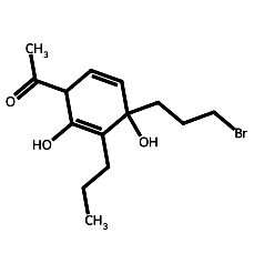 CCCC1=C(O)C(C(C)=O)C=CC1(O)CCCBr